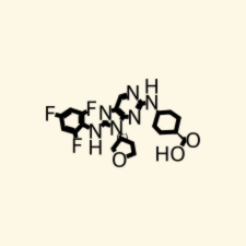 O=C(O)[C@H]1CC[C@H](Nc2ncc3nc(Nc4c(F)cc(F)cc4F)n([C@H]4CCOC4)c3n2)CC1